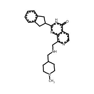 CN1CCC(CNCc2nccc3c(=O)[nH]c(C4Cc5ccccc5C4)nc23)CC1